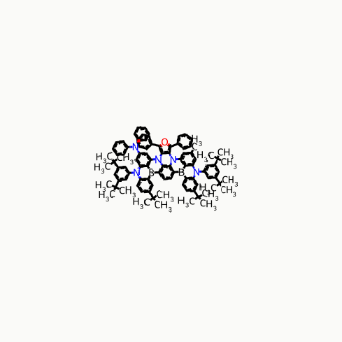 Cc1cc2c3c(c1)N1c4c(ccc5c4N(c4cc(N(c6ccccc6)c6ccccc6)cc6c4B5c4cc(C(C)(C)C)ccc4N6c4cc(C(C)(C)C)cc(C(C)(C)C)c4)c4c(-c5ccccc5)oc(-c5ccccc5)c41)B3c1ccc(C(C)(C)C)cc1N2c1cc(C(C)(C)C)cc(C(C)(C)C)c1